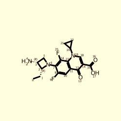 CC[C@@H]1[C@H](N)CN1c1c(F)cc2c(=O)c(C(=O)O)cn(C3CC3)c2c1F